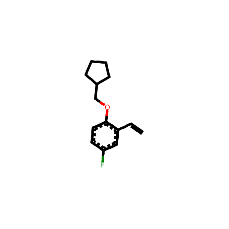 C=Cc1cc(F)ccc1OCC1CCCC1